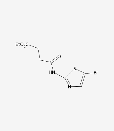 CCOC(=O)CCC(=O)Nc1ncc(Br)s1